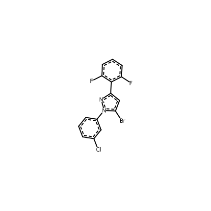 Fc1cccc(F)c1-c1cc(Br)n(-c2cccc(Cl)c2)n1